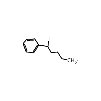 [CH2]CCCC(I)c1ccccc1